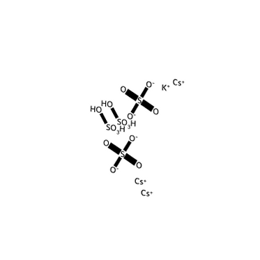 O=S(=O)(O)O.O=S(=O)(O)O.O=S(=O)([O-])[O-].O=S(=O)([O-])[O-].[Cs+].[Cs+].[Cs+].[K+]